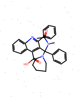 CC(=O)N(C)C(c1ccccc1)(c1c(-c2ccccc2)nc2ccccc2c1C(=O)O)N1CCCCC1